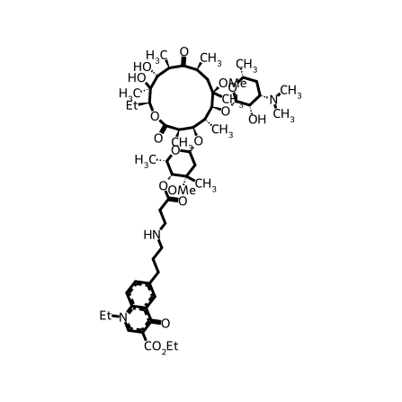 CCOC(=O)c1cn(CC)c2ccc(CCCNCCC(=O)O[C@@H]3[C@H](C)O[C@H](O[C@@H]4[C@@H](C)[C@H](O[C@@H]5O[C@H](C)C[C@H](N(C)C)[C@@H]5O)[C@](C)(OC)C[C@H](C)C(=O)[C@H](C)[C@@H](O)[C@](C)(O)[C@H](CC)OC(=O)[C@@H]4C)C[C@]3(C)OC)cc2c1=O